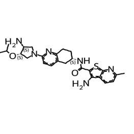 Cc1ccc2c(N)c(C(=O)N[C@H]3CCc4nc(N5C[C@H](OC(C)C)[C@@H](N)C5)ccc4C3)sc2n1